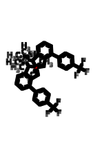 CC1=Cc2c(-c3ccc(C(F)(F)F)cc3)cccc2[CH]1[Zr]([CH3])([CH3])([CH3])([CH3])(=[SiH2])[CH]1C(C)=Cc2c(-c3ccc(C(F)(F)F)cc3)cccc21